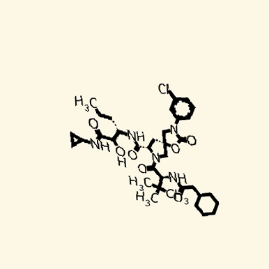 CCC[C@H](NC(=O)[C@@H]1C[C@@]2(CN(c3cccc(Cl)c3)C(=O)O2)CN1C(=O)[C@@H](NC(=O)CC1CCCCC1)C(C)(C)C)C(O)C(=O)NC1CC1